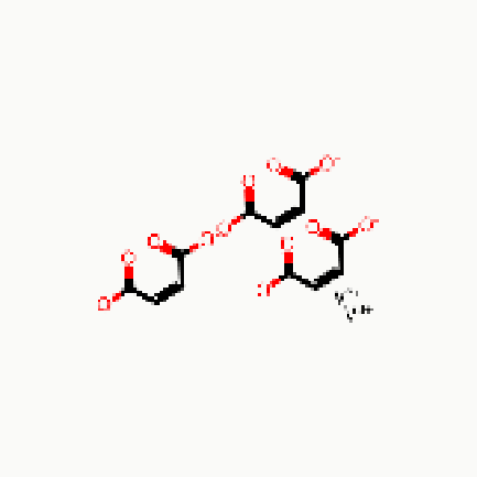 O=C([O-])/C=C\C(=O)[O-].O=C([O-])/C=C\C(=O)[O-].O=C([O-])/C=C\C(=O)[O-].[V+3].[V+3]